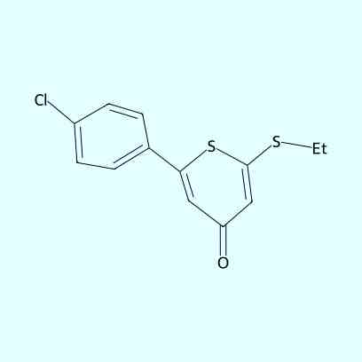 CCSc1cc(=O)cc(-c2ccc(Cl)cc2)s1